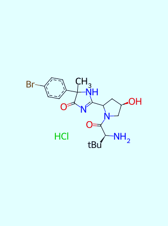 CC1(c2ccc(Br)cc2)NC(C2C[C@@H](O)CN2C(=O)[C@@H](N)C(C)(C)C)=NC1=O.Cl